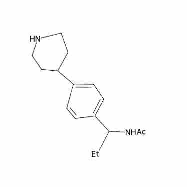 CCC(NC(C)=O)c1ccc(C2CCNCC2)cc1